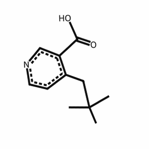 CC(C)(C)Cc1ccncc1C(=O)O